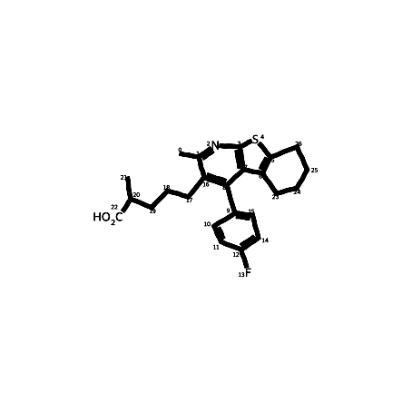 Cc1nc2sc3c(c2c(-c2ccc(F)cc2)c1CCCC(C)C(=O)O)CCCC3